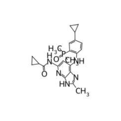 Cc1nc2c(Nc3ccc(C4CC4)cc3P(C)(C)=O)cc(NC(=O)C3CC3)nc2[nH]1